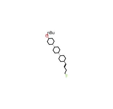 CCCCO[C@H]1CC[C@H](C2CCC([C@H]3CC[C@H](/C=C/CCF)CC3)CC2)CC1